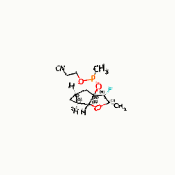 [2H][C@]12C[C@H]1C[C@]1(OP(C)OCC[N+]#[C-])[C@H](F)[C@H](C)O[C@H]21